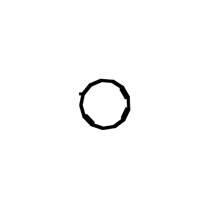 [CH]1CC=CCCC=CC=CCCC1